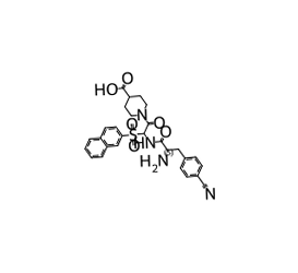 N#Cc1ccc(C[C@H](N)C(=O)NC(C(=O)N2CCC(C(=O)O)CC2)S(=O)(=O)c2ccc3ccccc3c2)cc1